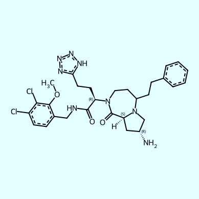 COc1c(CNC(=O)[C@@H](CCc2nnn[nH]2)N2CCC(CCc3ccccc3)N3C[C@H](N)C[C@H]3C2=O)ccc(Cl)c1Cl